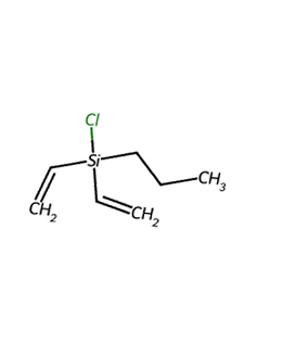 C=C[Si](Cl)(C=C)CCC